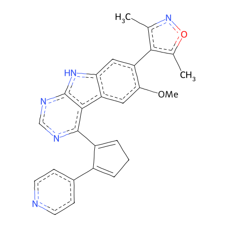 COc1cc2c(cc1-c1c(C)noc1C)[nH]c1ncnc(C3=CCC=C3c3ccncc3)c12